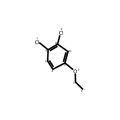 [CH2]COc1ccc(Cl)c(Cl)c1